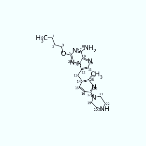 CCCCOc1nc(N)c2ncc(Cc3ccc(N4CCNCC4)nc3C)n2n1